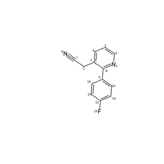 N#CCc1cccnc1-c1ccc(F)cc1